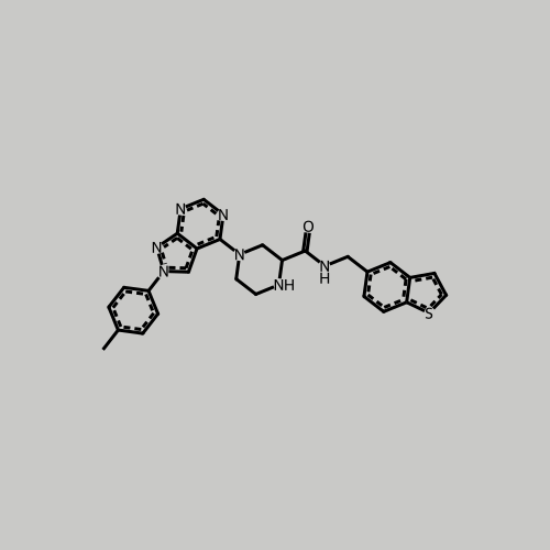 Cc1ccc(-n2cc3c(N4CCNC(C(=O)NCc5ccc6sccc6c5)C4)ncnc3n2)cc1